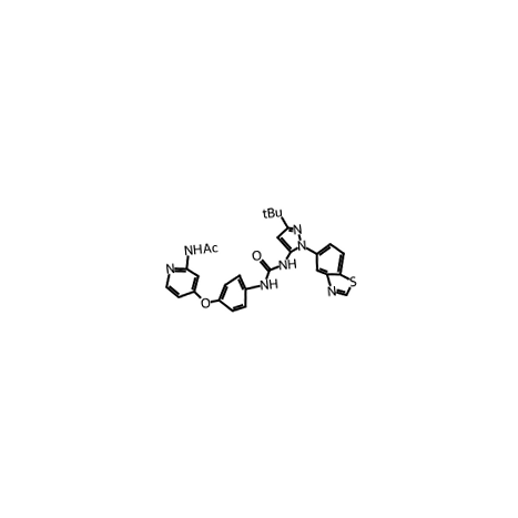 CC(=O)Nc1cc(Oc2ccc(NC(=O)Nc3cc(C(C)(C)C)nn3-c3ccc4scnc4c3)cc2)ccn1